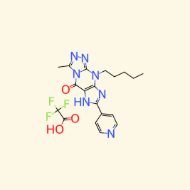 CCCCCn1c2nc(-c3ccncc3)[nH]c2c(=O)n2c(C)nnc12.O=C(O)C(F)(F)F